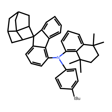 CC(C)(C)c1ccc(N(c2cccc3c2-c2ccccc2C32C3CC4CC5CC2C53C4)c2cccc3c2C(C)(C)CCC3(C)C)cc1